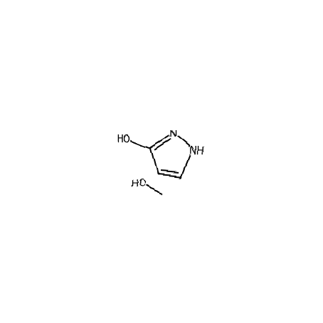 CO.Oc1cc[nH]n1